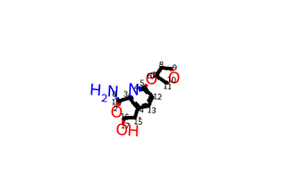 NC(=O)c1nc(O[C@@H]2CCOC2)ccc1[CH]CO